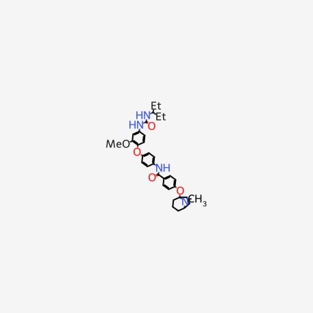 CCC(CC)NC(=O)Nc1ccc(Oc2ccc(NC(=O)c3ccc(OC45CCCC(CC4)N5C)cc3)cc2)c(OC)c1